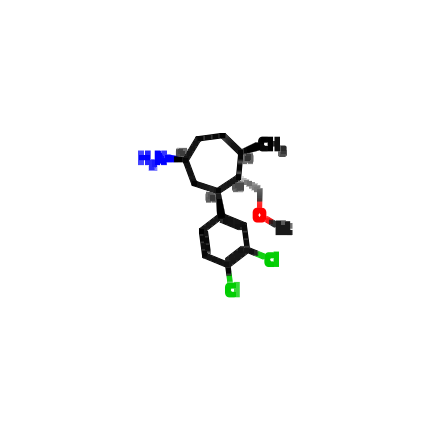 CCOC[C@H]1[C@H](C)CC[C@H](N)C[C@@H]1c1ccc(Cl)c(Cl)c1